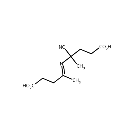 CC(CCC(=O)O)=NC(C)(C#N)CCC(=O)O